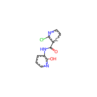 O=C(Nc1cccnc1O)c1cccnc1Cl